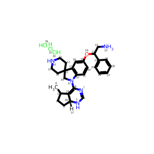 CC1CC[C@H]2NC=NC(N3CC4(CCNCC4)c4cc(OC(CN)c5ccccc5)ccc43)=C12.Cl.Cl.Cl